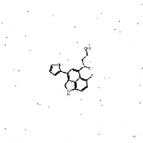 [O-][S+](CCO)c1cc(-c2ccc[nH]2)c2c3c(ccc(F)c13)NC2